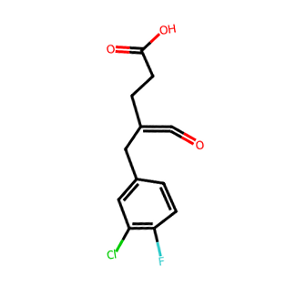 O=C=C(CCC(=O)O)Cc1ccc(F)c(Cl)c1